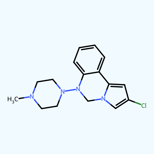 CN1CCN(N2Cn3cc(Cl)cc3-c3ccccc32)CC1